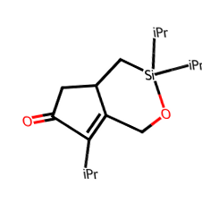 CC(C)C1=C2CO[Si](C(C)C)(C(C)C)CC2CC1=O